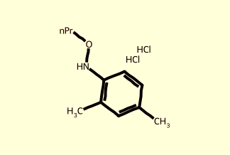 CCCONc1ccc(C)cc1C.Cl.Cl